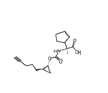 C#CCCC[C@@H]1C[C@H]1OC(=O)N[C@](C)(C(=O)O)C1CCCC1